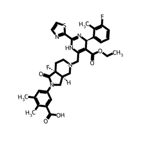 CCOC(=O)C1=C(CN2CC[C@]3(F)C(=O)N(c4cc(C)c(C)c(C(=O)O)c4)C[C@@H]3C2)NC(c2nccs2)=N[C@H]1c1cccc(F)c1C